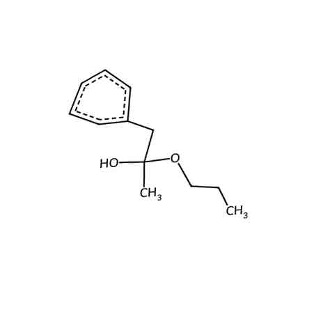 CCCOC(C)(O)Cc1ccccc1